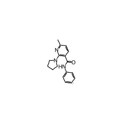 Cc1ccc(C(=O)Nc2cc[c]cc2)c(N2CCCC2)n1